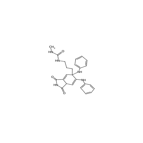 CNC(=O)NCCCC1(Nc2ccccc2)C=C2C(=O)NC(=O)C2C=C1Nc1ccccc1